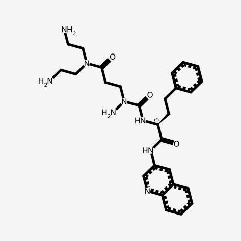 NCCN(CCN)C(=O)CCN(N)C(=O)N[C@@H](CCc1ccccc1)C(=O)Nc1cnc2ccccc2c1